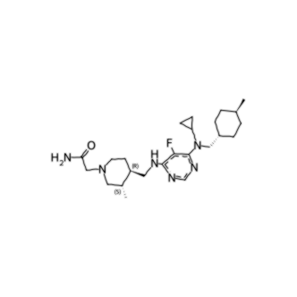 C[C@@H]1CN(CC(N)=O)CC[C@H]1CNc1ncnc(N(C[C@H]2CC[C@H](C)CC2)C2CC2)c1F